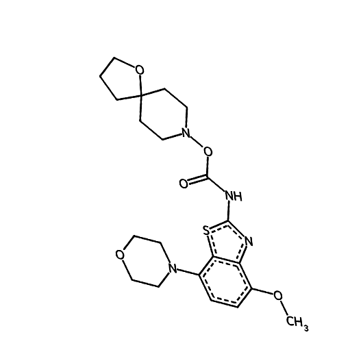 COc1ccc(N2CCOCC2)c2sc(NC(=O)ON3CCC4(CCCO4)CC3)nc12